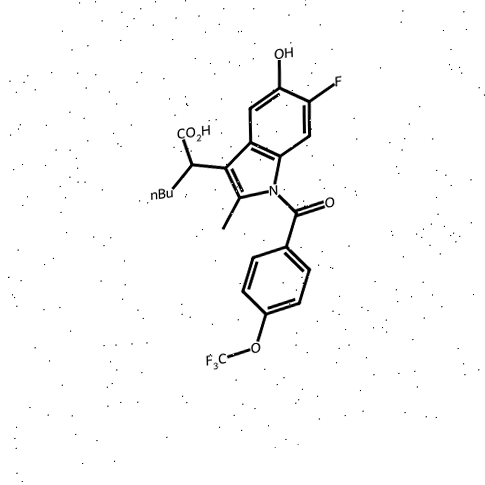 CCCCC(C(=O)O)c1c(C)n(C(=O)c2ccc(OC(F)(F)F)cc2)c2cc(F)c(O)cc12